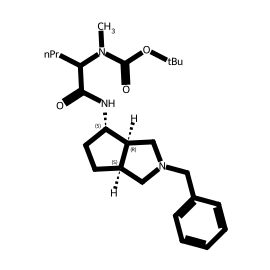 CCCC(C(=O)N[C@H]1CC[C@@H]2CN(Cc3ccccc3)C[C@@H]21)N(C)C(=O)OC(C)(C)C